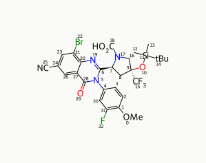 COc1ccc(-n2c([C@@H]3C[C@@](O[Si](C)(C)C(C)(C)C)(C(F)(F)F)CN3C(=O)O)nc3c(Br)cc(C#N)cc3c2=O)cc1F